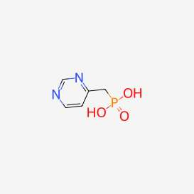 O=P(O)(O)Cc1ccncn1